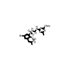 COc1nc(C)nc(NC(=O)NS(=O)(=O)c2cc(Br)cc3c2OS(=O)(=O)C(C)=C3)n1